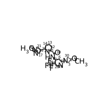 COC1CN(c2cc(NC(=O)c3cccc(-c4cnn(C)c4)n3)c(C(F)(F)F)cn2)C1